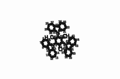 Cc1c(-n2c3ccccc3c3ccccc32)c(C)c(-n2c3ccccc3c3ccccc32)c(C)c1-n1c2ccccc2c2ccccc21